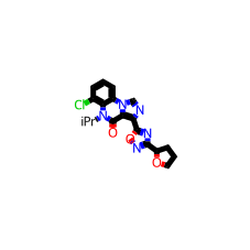 CC(C)n1c(=O)c2c(-c3nc(C4CCCO4)no3)ncn2c2cccc(Cl)c21